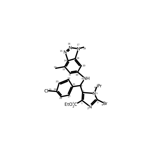 CCOC(=O)c1nc(Br)n(C(C)C)c1C(Nc1cc(C)c2nnn(C)c2c1)c1ccc(Cl)cc1